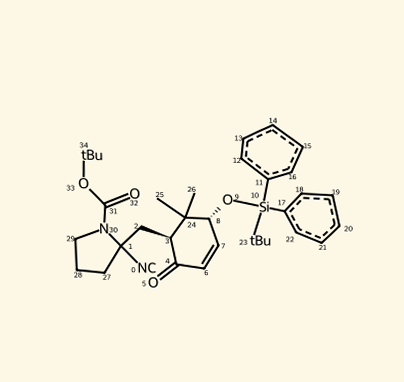 [C-]#[N+]C1(C[C@@H]2C(=O)C=C[C@@H](O[Si](c3ccccc3)(c3ccccc3)C(C)(C)C)C2(C)C)CCCN1C(=O)OC(C)(C)C